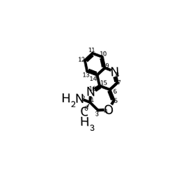 C[C@@]1(N)COC=c2cnc3ccccc3c2=N1